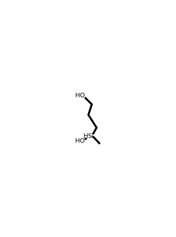 C[SiH](O)CCCO